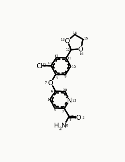 NC(=O)c1ccc(Oc2ccc(C3OCCO3)cc2Cl)cn1